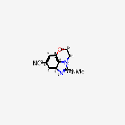 CNc1nc2cc(C#N)cc3c2n1CCO3